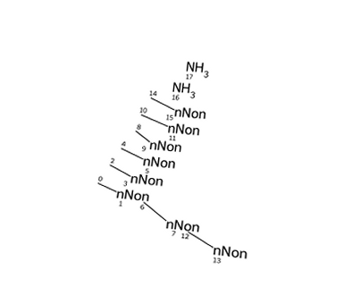 CCCCCCCCCC.CCCCCCCCCC.CCCCCCCCCC.CCCCCCCCCC.CCCCCCCCCC.CCCCCCCCCC.CCCCCCCCCC.CCCCCCCCCC.N.N